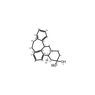 CC(C)(C)[C@]1(O)CCN2CC3c4ccccc4CCc4cccc(c43)[C@@H]2C1